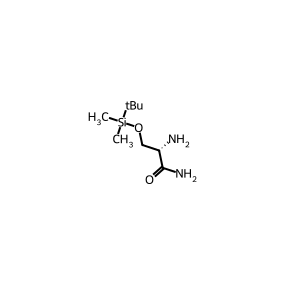 CC(C)(C)[Si](C)(C)OC[C@H](N)C(N)=O